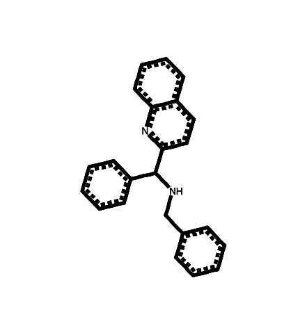 c1ccc(CNC(c2ccccc2)c2ccc3ccccc3n2)cc1